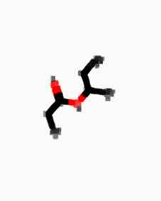 CC(=O)CC(=O)OC(CC(C)C)C(C)C